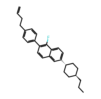 C=CCCc1ccc(-c2ccc3cc([C@H]4CC[C@H](CCC)CC4)ccc3c2F)cc1